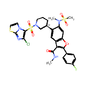 CNC(=O)c1c(-c2ccc(F)cc2)oc2cc(N(C)S(C)(=O)=O)c([C@@H]3CCCN(S(=O)(=O)c4c(Cl)nc5sccn45)C3)cc12